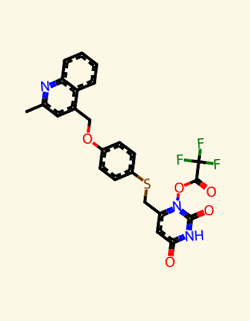 Cc1cc(COc2ccc(SCc3cc(=O)[nH]c(=O)n3OC(=O)C(F)(F)F)cc2)c2ccccc2n1